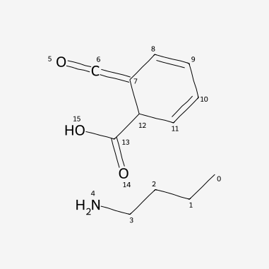 CCCCN.O=C=C1C=CC=CC1C(=O)O